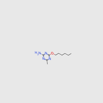 CCCCCCOc1nc(C)nc(N)n1